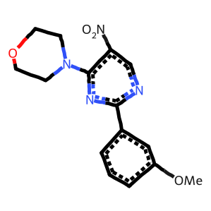 COc1cccc(-c2ncc([N+](=O)[O-])c(N3CCOCC3)n2)c1